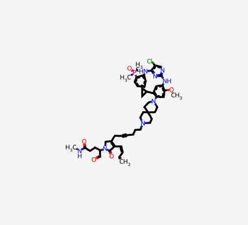 C=C/C=C\C1=C(CC#CCCCN2CCC3(CC2)CCN(c2cc(OC)c(Nc4ncc(Cl)c(Nc5ccccc5P(C)(C)=O)n4)cc2C2CC2)CC3)CN(C(C=O)CCC(=O)NC)C1=O